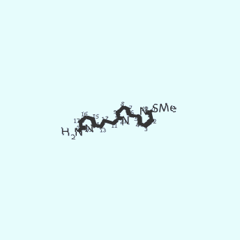 CSc1cccc(-c2cccc(CCCc3cccc(N)n3)n2)n1